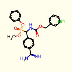 COP(=O)(Oc1ccccc1)C(NC(=O)OCc1ccccc1)c1ccc(C(=N)N)cc1.Cl